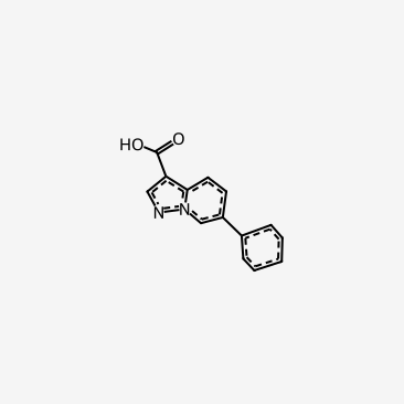 O=C(O)c1cnn2cc(-c3ccccc3)ccc12